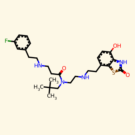 CC(C)(C)CN(CCNCCc1ccc(O)c2[nH]c(=O)sc12)C(=O)CCNCCc1cccc(F)c1